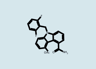 CC(=O)Oc1cccc2c1c1c(C(N)=O)cccc1n2Cc1c(F)cccc1F